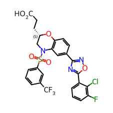 O=C(O)CC[C@H]1CN(S(=O)(=O)c2cccc(C(F)(F)F)c2)c2cc(-c3noc(-c4cccc(F)c4Cl)n3)ccc2O1